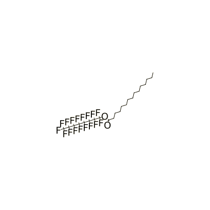 CCCCCCCCCCCCCCC(=O)OC(F)(F)C(F)(F)C(F)(F)C(F)(F)C(F)(F)C(F)(F)C(F)(F)C(F)(F)F